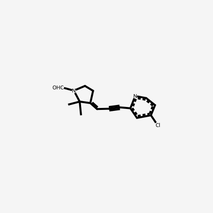 CC1(C)/C(=C/C#Cc2cc(Cl)ccn2)CCN1C=O